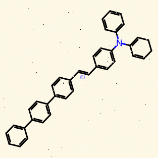 C1=CC(N(c2ccccc2)c2ccc(/C=C/c3ccc(-c4ccc(-c5ccccc5)cc4)cc3)cc2)=CCC1